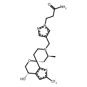 C[C@H]1C[C@@]2(CCN1Cc1cnn(CCC(N)=O)c1)OC[C@@H](O)c1cc(C(F)(F)F)sc12